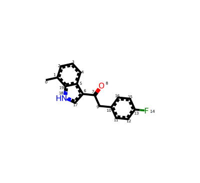 Cc1cccc2c(C(=O)Cc3ccc(F)cc3)c[nH]c12